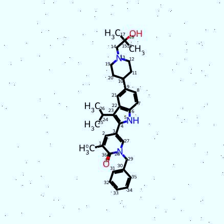 Cc1cc(-c2[nH]c3ccc(C4CCN(CC(C)(C)O)CC4)cc3c2C(C)C)cn(Cc2ccccc2)c1=O